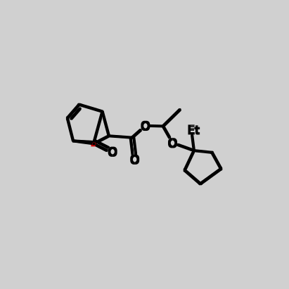 CCC1(OC(C)OC(=O)C2CC3C=CC2C3=O)CCCC1